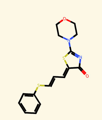 O=C1N=C(N2CCOCC2)SC1=CC=CSc1ccccc1